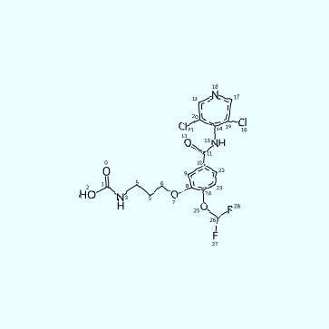 O=C(O)NCCCOc1cc(C(=O)Nc2c(Cl)cncc2Cl)ccc1OC(F)F